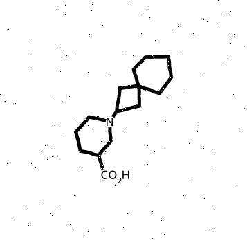 O=C(O)C1CCCN(C2CC3(CCCCC3)C2)C1